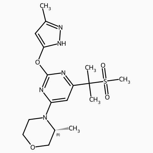 Cc1cc(Oc2nc(N3CCOC[C@H]3C)cc(C(C)(C)S(C)(=O)=O)n2)[nH]n1